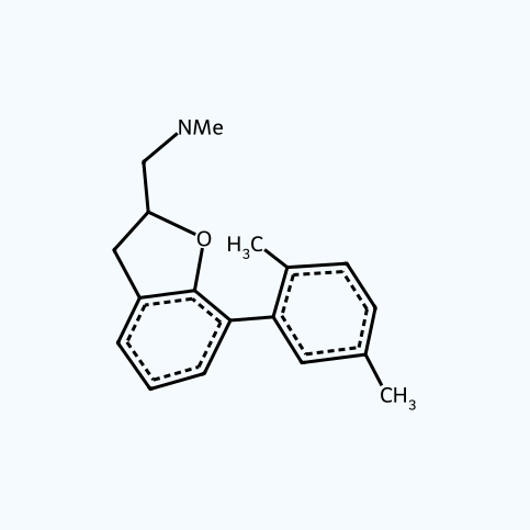 CNCC1Cc2cccc(-c3cc(C)ccc3C)c2O1